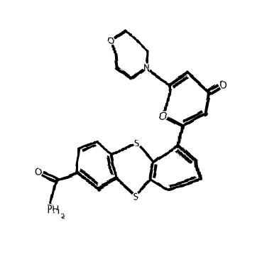 O=C(P)c1ccc2c(c1)Sc1cccc(-c3cc(=O)cc(N4CCOCC4)o3)c1S2